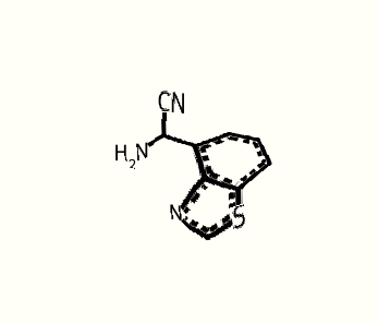 N#CC(N)c1cccc2scnc12